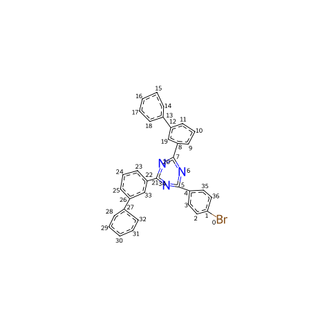 Brc1ccc(-c2nc(-c3cccc(-c4ccccc4)c3)nc(-c3cccc(-c4ccccc4)c3)n2)cc1